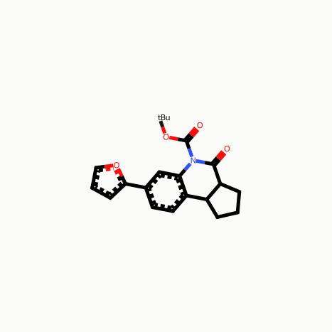 CC(C)(C)OC(=O)N1C(=O)C2CCCC2c2ccc(-c3ccco3)cc21